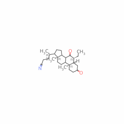 CC[C@@H]1C(=O)C2C3CCC([C@H](C)CCC#N)[C@@]3(C)CCC2[C@@]2(C)CCC(=O)C[C@@H]12